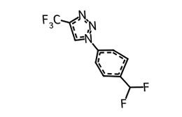 FC(F)c1ccc(-n2cc(C(F)(F)F)nn2)cc1